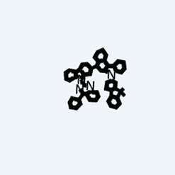 CC1(C)c2ccccc2-c2ccc(-n3c4ccccc4c4c5ccccc5c(-c5ccc6c7ccccc7n(-c7nc(-c8ccccc8)c8ccccc8n7)c6c5)cc43)cc21